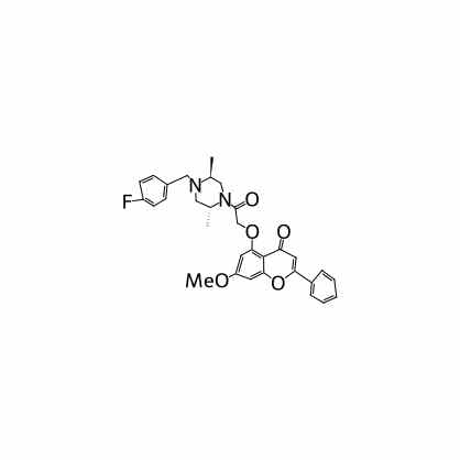 COc1cc(OCC(=O)N2C[C@H](C)N(Cc3ccc(F)cc3)C[C@H]2C)c2c(=O)cc(-c3ccccc3)oc2c1